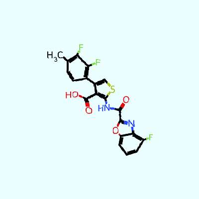 Cc1ccc(-c2csc(NC(=O)c3nc4c(F)cccc4o3)c2C(=O)O)c(F)c1F